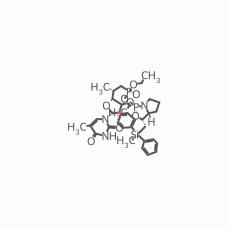 CCOP(=O)(C[C@@H](C)[C@H]1O[C@@H](n2cc(C)c(=O)[nH]c2=O)CC1O[P@]1O[C@@H](C[Si](C)(c2ccccc2)c2ccccc2)[C@H]2CCCN21)OCC